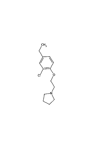 CCc1ccc(OCCN2CCCC2)c(Cl)c1